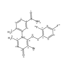 Cc1ccc(C(N)=O)cc1-n1c(C)nc(=O)c(Br)c1OCc1ccc(F)cc1F